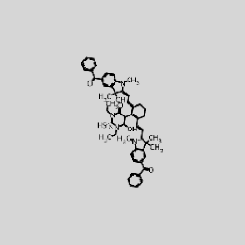 CCN1C(=O)C(C2=C(C=CC3=[N+](C)c4ccc(C(=O)c5ccccc5)cc4C3(C)C)CCCC2=CC=C2N(C)c3ccc(C(=O)c4ccccc4)cc3C2(C)C)C(O)N(CC)[C@@H]1S